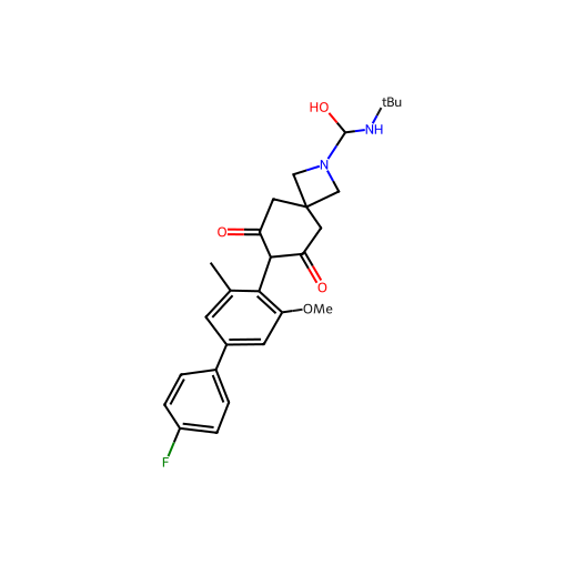 COc1cc(-c2ccc(F)cc2)cc(C)c1C1C(=O)CC2(CC1=O)CN(C(O)NC(C)(C)C)C2